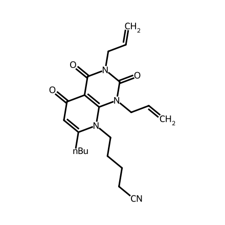 C=CCn1c(=O)c2c(=O)cc(CCCC)n(CCCCC#N)c2n(CC=C)c1=O